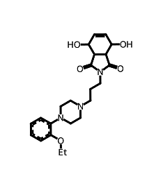 CCOc1ccccc1N1CCN(CCCN2C(=O)C3C(O)C=CC(O)C3C2=O)CC1